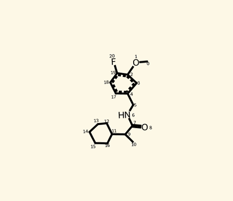 COc1cc(CNC(=O)C(C)C2CCCCC2)ccc1F